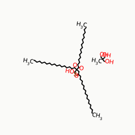 CC(CO)(CO)CO.CCCCCCCCCCCCCCCCCC(=O)CC(C(=O)CCCCCCCCCCCCCCCCC)(C(=O)CCCCCCCCCCCCCCCCC)C(O)=S